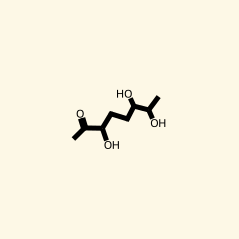 CC(=O)C(O)CCC(O)C(C)O